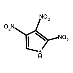 O=[N+]([O-])C1=CBC([N+](=O)[O-])=C1[N+](=O)[O-]